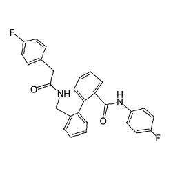 O=C(Cc1ccc(F)cc1)NCc1ccccc1-c1ccccc1C(=O)Nc1ccc(F)cc1